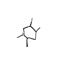 CC1CC(C)N(C)CC1I